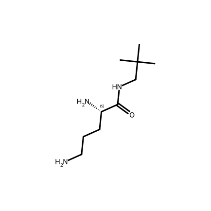 CC(C)(C)CNC(=O)[C@@H](N)CCCN